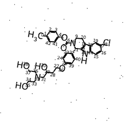 Cc1ccc(OC(=O)N2CCc3c([nH]c4ccc(Cl)cc34)[C@@H]2c2ccc(OCCC(O)CN(CCO)CCO)cc2)cc1